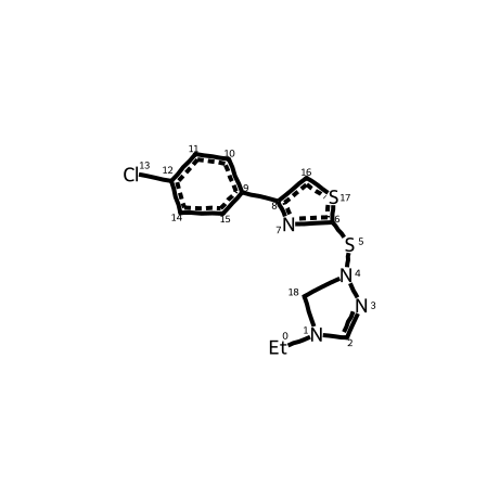 CCN1C=NN(Sc2nc(-c3ccc(Cl)cc3)cs2)C1